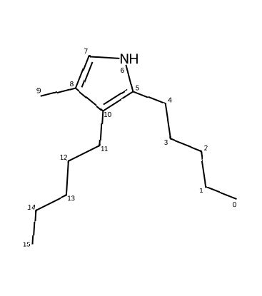 CCCCCc1[nH]cc(C)c1CCCCC